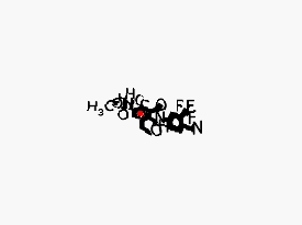 COC(=O)N[C@@H]1C[C@@]23CCO[C@H]4[C@@H]2[C@](C)(C(=O)N4c2ccc(C#N)c(C(F)(F)F)c2)[C@]1(C)O3